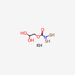 O=C(OCC(O)O)N(S)S.[KH]